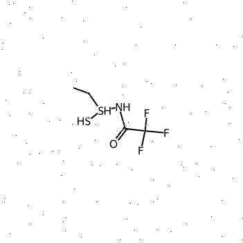 CC[SH](S)NC(=O)C(F)(F)F